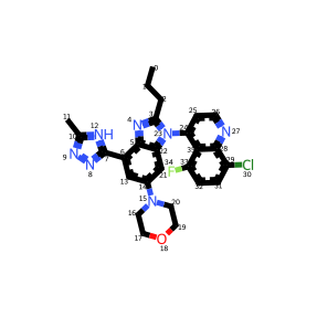 CCCc1nc2c(-c3nnc(C)[nH]3)cc(N3CCOCC3)cc2n1-c1ccnc2c(Cl)ccc(F)c12